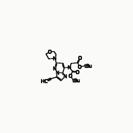 C#Cc1cnc2c(N(CC(=O)OC(C)(C)C)C(=O)OC(C)(C)C)cc(N3CCOCC3)nn12